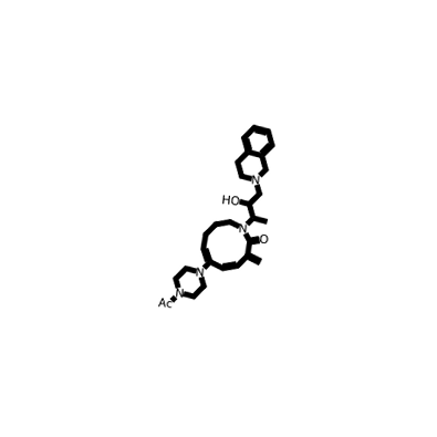 C=C1/C=C\C(N2CCN(C(C)=O)CC2)=C/CCCN(C(C)C(O)CN2CCc3ccccc3C2)C1=O